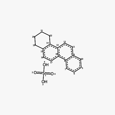 O=S(=O)(O)O.c1ccc2c(c1)ccc1c3c(ccc12)CCCC3